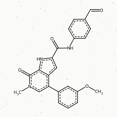 COc1cccc(-c2cn(C)c(=O)c3[nH]c(C(=O)Nc4ccc(C=O)cc4)cc23)c1